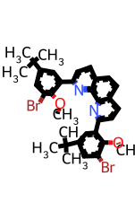 COc1c(Br)cc(C(C)(C)C)cc1-c1ccc2ccc3ccc(-c4cc(C(C)(C)C)cc(Br)c4OC)nc3c2n1